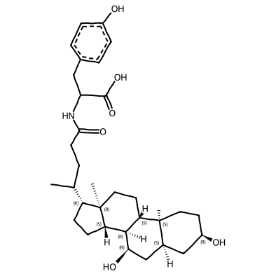 CC(CCC(=O)NC(Cc1ccc(O)cc1)C(=O)O)[C@H]1CC[C@H]2[C@@H]3[C@H](O)C[C@@H]4C[C@H](O)CC[C@]4(C)[C@H]3CC[C@]12C